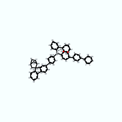 c1ccc(-c2ccc(-c3ccc(N(c4ccc(-c5ccc6c(c5)C5(CC7CCC5C7)c5ccccc5-6)cc4)c4ccccc4-c4ccccc4)cc3)cc2)cc1